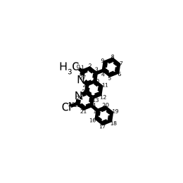 Cc1cc(-c2ccccc2)c2ccc3c(-c4ccccc4)cc(Cl)nc3c2n1